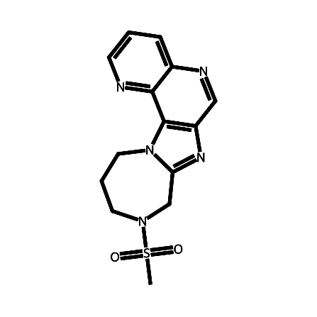 CS(=O)(=O)N1CCCn2c(nc3cnc4cccnc4c32)C1